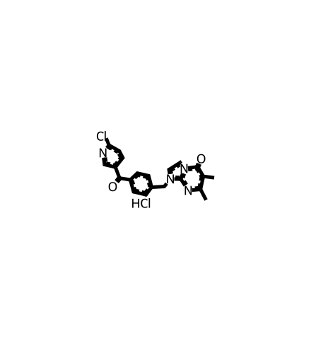 Cc1nc2n(Cc3ccc(C(=O)c4ccc(Cl)nc4)cc3)ccn2c(=O)c1C.Cl